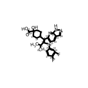 CC(C)c1c(C2CCC(O)(C(=O)O)CC2)c2nc3[nH]ncc3cc2n1-c1ccc(F)c(F)c1